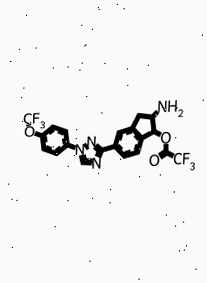 NC1Cc2cc(-c3ncn(-c4ccc(OC(F)(F)F)cc4)n3)ccc2C1OC(=O)C(F)(F)F